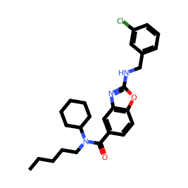 CCCCCN(C(=O)c1ccc2oc(NCc3cccc(Cl)c3)nc2c1)C1CCCCC1